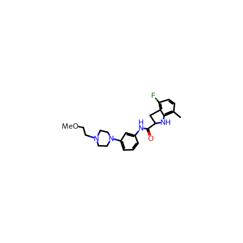 COCCN1CCN(c2cccc(NC(=O)C3Cc4c(F)ccc(C)c4N3)c2)CC1